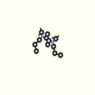 Cc1ccc(N(c2ccc(-c3cccc(-c4ccccc4)c3)cc2)c2cc3c4ccccc4c(N(c4ccc(-c5cccc(-c6ccccc6)c5)cc4)c4ccc(C)cc4C)cc3c3ccccc23)c(C)c1